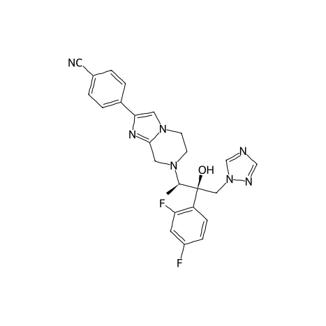 C[C@@H](N1CCn2cc(-c3ccc(C#N)cc3)nc2C1)[C@](O)(Cn1cncn1)c1ccc(F)cc1F